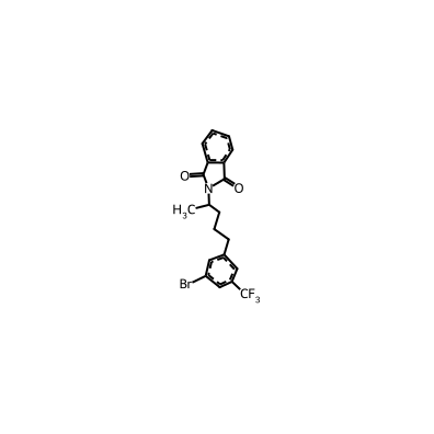 CC(CCCc1cc(Br)cc(C(F)(F)F)c1)N1C(=O)c2ccccc2C1=O